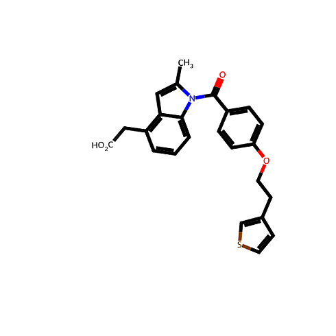 Cc1cc2c(CC(=O)O)cccc2n1C(=O)c1ccc(OCCc2ccsc2)cc1